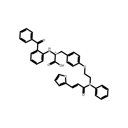 O=C(c1ccccc1)c1ccccc1N[C@@H](Cc1ccc(OCCN(C(=O)C=Cc2ccco2)c2ccccc2)cc1)C(=O)O